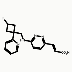 O=C(O)C=Cc1ccc(NCC2(c3ccccn3)CC(F)C2)nn1